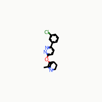 CC1C(Oc2ccc(-c3cccc(Cl)c3)nn2)C2CCN1CC2